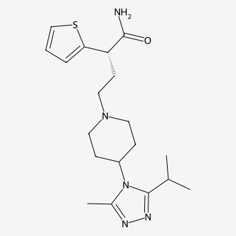 Cc1nnc(C(C)C)n1C1CCN(CC[C@@H](C(N)=O)c2cccs2)CC1